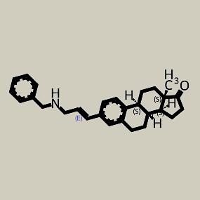 C[C@]12CC[C@@H]3c4ccc(/C=C/CNCc5ccccc5)cc4CC[C@H]3[C@@H]1CCC2=O